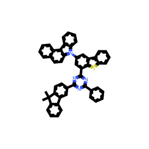 CC1(C)c2ccccc2-c2cc(-c3nc(-c4ccccc4)nc(-c4cc(-n5c6ccccc6c6c7ccccc7ccc65)cc5c4sc4ccccc45)n3)ccc21